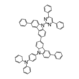 C1=CCC(N(c2ccccc2)c2ccc(N3c4ccc(-c5ccccc5)cc4C4C=C(c5ccc6c(c5)c5cc(-c7ccccc7)ccc5n6-c5nc(-c6ccccc6)cc(-c6ccccc6)n5)C=CC43)cc2)C=C1